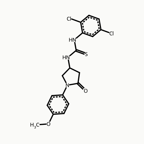 COc1ccc(N2CC(NC(=S)Nc3cc(Cl)ccc3Cl)CC2=O)cc1